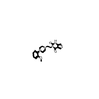 COc1ccccc1N1CCN(CCn2c(=O)[nH]c3cscc3c2=O)CC1